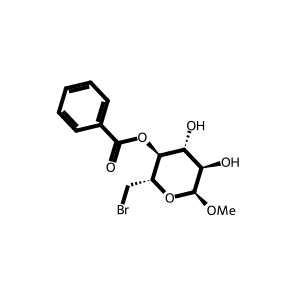 CO[C@H]1O[C@H](CBr)[C@@H](OC(=O)c2ccccc2)[C@H](O)[C@H]1O